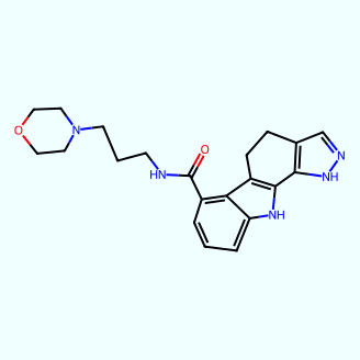 O=C(NCCCN1CCOCC1)c1cccc2[nH]c3c(c12)CCc1cn[nH]c1-3